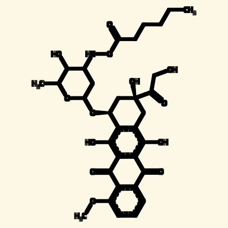 CCCCCC(=O)ONC1CC(O[C@H]2C[C@](O)(C(=O)CO)Cc3c(O)c4c(c(O)c32)C(=O)c2c(OC)cccc2C4=O)OC(C)C1O